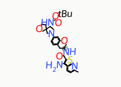 Cc1ccc2c(N)c(C(=O)N[C@H]3COc4cc(N5CC(NC(=O)OC(C)(C)C)C6(CCOC6)C5)ccc4C3)sc2n1